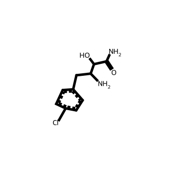 NC(=O)C(O)C(N)Cc1ccc(Cl)cc1